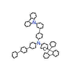 c1ccc(-c2ccc(-c3ccc(N(c4ccc(-c5cccc(-n6c7ccccc7c7ccccc76)c5)cc4)c4ccc(C5(c6ccccc6)c6ccccc6-c6ccccc65)cc4)cc3)cc2)cc1